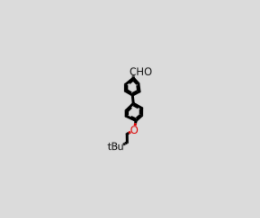 CC(C)(C)CCOc1ccc(-c2ccc(C=O)cc2)cc1